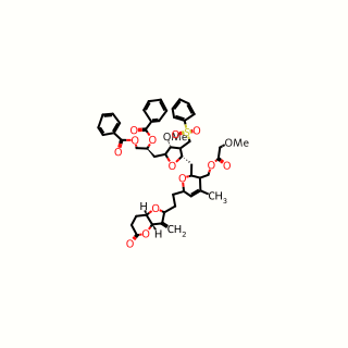 C=C1C(CCC2C=C(C)C(COC(=O)COC)C(C[C@@H]3OC(C[C@@H](COC(=O)c4ccccc4)OC(=O)c4ccccc4)[C@H](OC)C3CS(=O)(=O)c3ccccc3)O2)O[C@H]2CCC(=O)O[C@@H]12